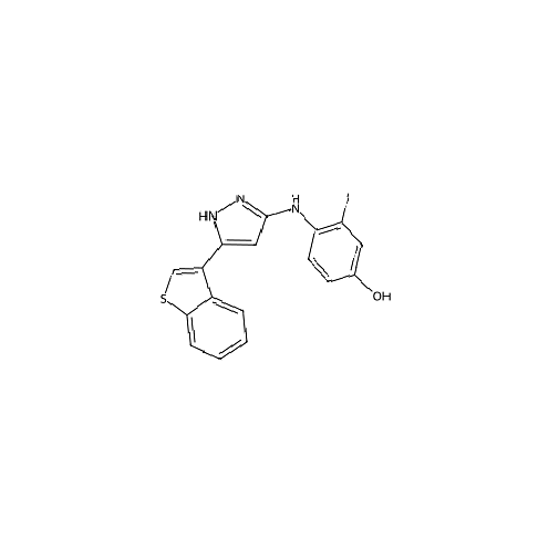 Cc1cc(O)ccc1Nc1cc(-c2csc3ccccc23)[nH]n1